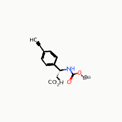 C#Cc1ccc([C@@H](CC(=O)O)NC(=O)OC(C)(C)C)cc1